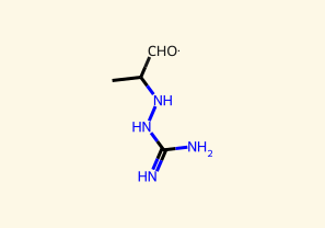 CC([C]=O)NNC(=N)N